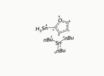 CCC[CH2][Sn]([CH2]CCC)[CH2]CCC.[SnH3][c]1ccco1